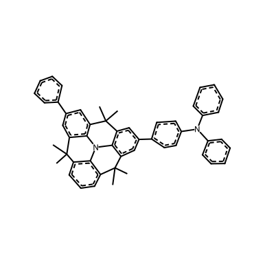 CC1(C)c2cccc3c2N2c4c1cc(-c1ccccc1)cc4C(C)(C)c1cc(-c4ccc(N(c5ccccc5)c5ccccc5)cc4)cc(c12)C3(C)C